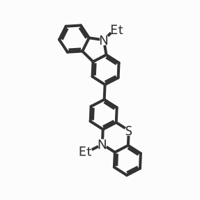 CCN1c2ccccc2Sc2cc(-c3ccc4c(c3)c3ccccc3n4CC)ccc21